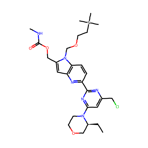 CC[C@H]1COCCN1c1cc(CCl)nc(-c2ccc3c(cc(COC(=O)NC)n3COCC[Si](C)(C)C)n2)n1